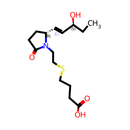 CC[C@H](O)/C=C/[C@H]1CCC(=O)N1CCSCCCC(=O)O